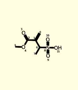 C=C(C(=O)OC)C(C)S(=O)(=O)O